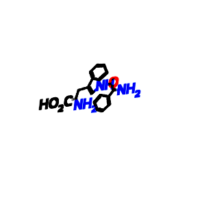 NC(=O)c1ccccc1.N[C@@H](Cc1c[nH]c2ccccc12)C(=O)O